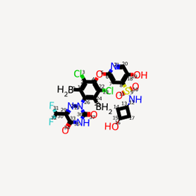 Bc1c(Cl)c(Oc2cc(S(=O)(=O)N[C@H]3C[C@@H](O)C3)c(O)cn2)c(Cl)c(B)c1-n1nc(C(F)F)c(=O)[nH]c1=O